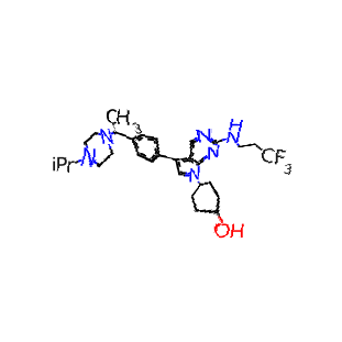 CC(C)N1CCN([C@H](C)c2ccc(-c3cn([C@H]4CC[C@H](O)CC4)c4nc(NCCC(F)(F)F)ncc34)cc2)CC1